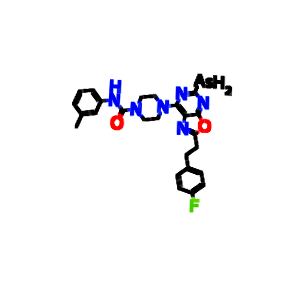 Cc1cccc(NC(=O)N2CCN(c3nc([AsH2])nc4oc(CCc5ccc(F)cc5)nc34)CC2)c1